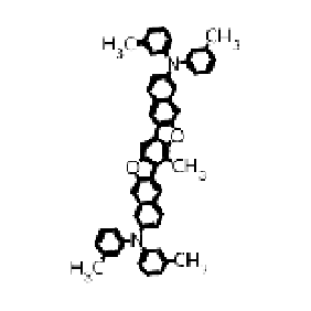 Cc1cccc(N(c2cccc(C)c2)c2ccc3cc4c(cc3c2)oc2c(C)c3c(cc24)oc2cc4cc(N(c5cccc(C)c5)c5cccc(C)c5)ccc4cc23)c1